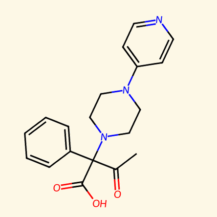 CC(=O)C(C(=O)O)(c1ccccc1)N1CCN(c2ccncc2)CC1